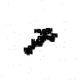 Cc1c(COc2cc(OCc3cncc(C#N)c3)c(CN[C@](C)(CO)C(=O)O)cc2Cl)cccc1-c1cccc(OCCCN2[C@@H]3CC[C@H]2C[C@H](O)C3)c1